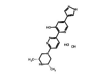 C[C@@H]1CN(c2ccc(-c3ncc(-c4cn[nH]c4)cc3O)nn2)C[C@H](C)N1.Cl.Cl